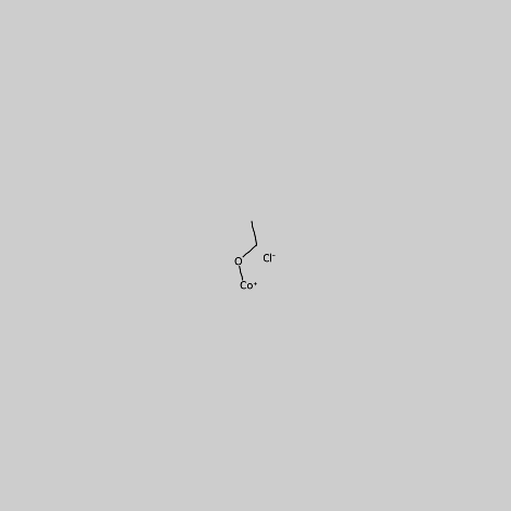 CC[O][Co+].[Cl-]